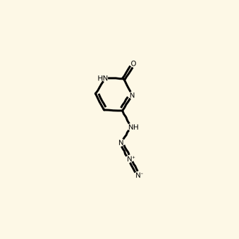 [N-]=[N+]=NNc1cc[nH]c(=O)n1